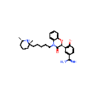 C[C@H]1CCC[C@@](C)(CCCCCN2C(=O)[C@H](c3cc(C(=N)N)ccc3O)Oc3ccccc32)N1